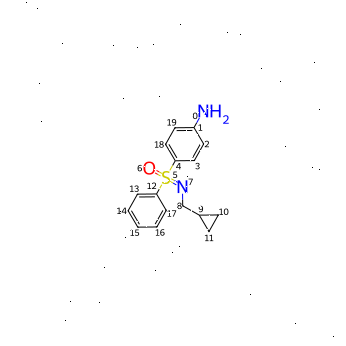 Nc1ccc(S(=O)(=NCC2CC2)c2ccccc2)cc1